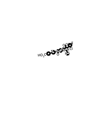 COC(=O)C1=C(CN2CCN3C(=O)N(c4ccc(-c5ccc(C(=O)O)cc5)nc4)CC3C2)NC(c2nccs2)=NC1c1ccc(F)cc1Cl